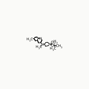 Cc1ccc2ncc(N(C)C3CCN(C(=O)OC(C)(C)C)CC3)cc2c1